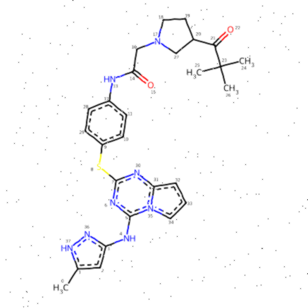 Cc1cc(Nc2nc(Sc3ccc(NC(=O)CN4CCC(C(=O)C(C)(C)C)C4)cc3)nc3cccn23)n[nH]1